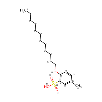 CCCCCCCCCCCCOc1ccc(C)cc1S(=O)(=O)O